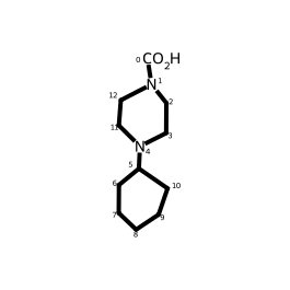 O=C(O)N1CCN(C2CCCCC2)CC1